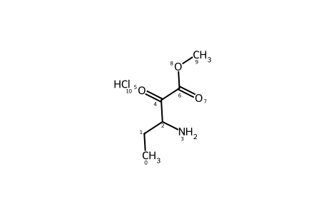 CCC(N)C(=O)C(=O)OC.Cl